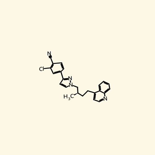 C[C@H](CCc1ccnc2ccccc12)Cn1ccc(-c2ccc(C#N)c(Cl)c2)n1